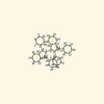 c1ccc(-c2c(-c3c(-c4ccccc4)n(-c4ccccc4)c4ccccc34)n(-c3ccccc3)c3ccccc23)cc1